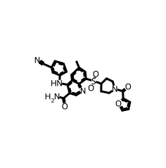 Cc1cc(S(=O)(=O)C2CCN(C(=O)c3ccco3)CC2)c2ncc(C(N)=O)c(Nc3cccc(C#N)c3)c2c1